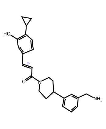 NCc1cccc(C2CCN(C(=O)/C=C/c3ccc(C4CC4)c(O)c3)CC2)c1